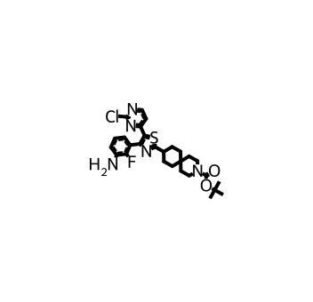 CC(C)(C)OC(=O)N1CCC2(CCC(c3nc(-c4cccc(N)c4F)c(-c4ccnc(Cl)n4)s3)CC2)CC1